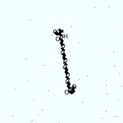 CC(C)C(C=O)NC(=O)CCOCCOCCOCCOCCOCCOCCN1C(=O)C=CC1=O